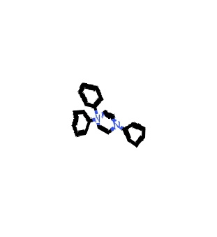 C1=C[N+](c2ccccc2)(c2ccccc2)C=CN1c1ccccc1